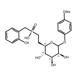 COc1ccc(OC2O[C@H](CCP(=O)(O)Cc3ccccc3C#N)[C@@H](O)[C@H](O)[C@@H]2O)cc1